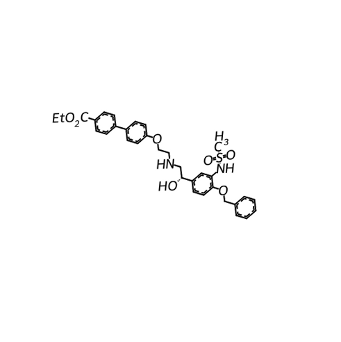 CCOC(=O)c1ccc(-c2ccc(OCCNC[C@@H](O)c3ccc(OCc4ccccc4)c(NS(C)(=O)=O)c3)cc2)cc1